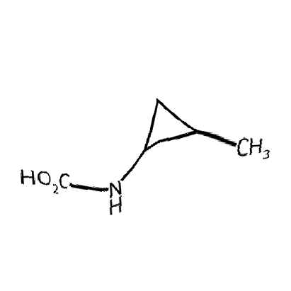 CC1CC1NC(=O)O